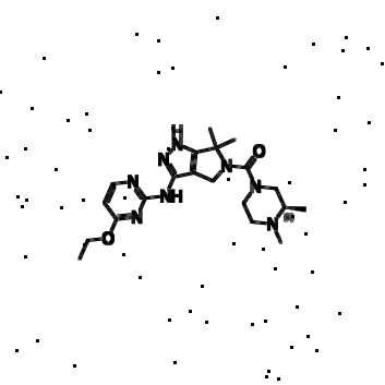 CCOc1ccnc(Nc2n[nH]c3c2CN(C(=O)N2CCN(C)[C@H](C)C2)C3(C)C)n1